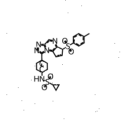 Cc1ccc(S(=O)(=O)C2C=Cc3c2ncc2nnc(C45CCC(NS(=O)(=O)C6CC6)(CC4)CC5)n32)cc1